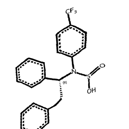 O=S(O)N(c1ccc(C(F)(F)F)cc1)[C@H](Cc1ccccc1)c1ccccc1